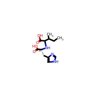 CCC(C)C(N[C@H](Cc1c[nH]cn1)C(=O)O)C(=O)O